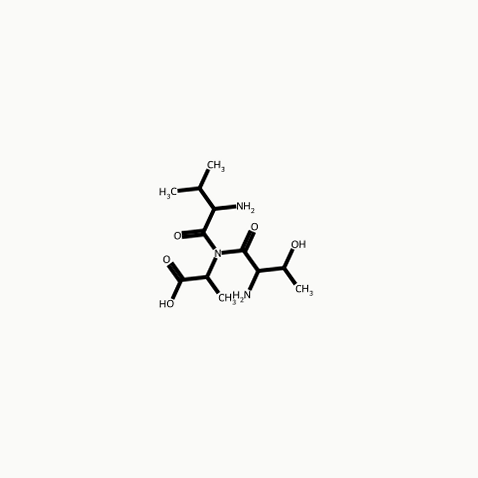 CC(C)C(N)C(=O)N(C(=O)C(N)C(C)O)C(C)C(=O)O